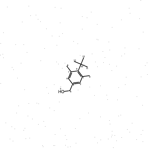 Cc1cc(CO)cc(C)c1C(C)(C)C